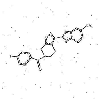 Cc1ccc2nc(-c3nnc4n3CCN(C(=O)c3ccc(F)cc3)C4)sc2c1